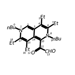 CCCCN1C=C2C(CC)=C(CC)N(CCCC)C(C(=O)C=O)=C2C(CC)=C1CC